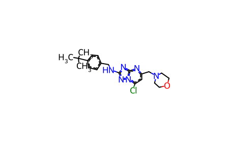 CC(C)(C)c1ccc(CNc2nc3nc(CN4CCOCC4)cc(Cl)n3n2)cc1